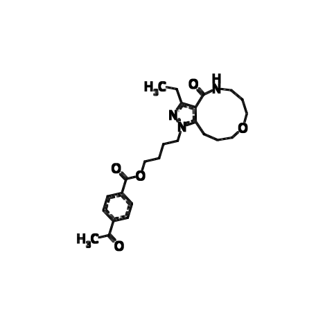 CCc1nn(CCCCOC(=O)c2ccc(C(C)=O)cc2)c2c1C(=O)NCCCOCCC2